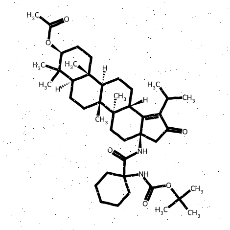 CC(=O)O[C@H]1CC[C@]2(C)[C@H]3CC[C@@H]4C5=C(C(C)C)C(=O)C[C@]5(NC(=O)C5(NC(=O)OC(C)(C)C)CCCCC5)CC[C@@]4(C)[C@]3(C)CC[C@H]2C1(C)C